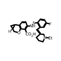 CCN1CCC/C(=C/c2cc(F)ccc2SNc2ccc3c(c2C(=O)O)OC[C@@H]2CC32)C1